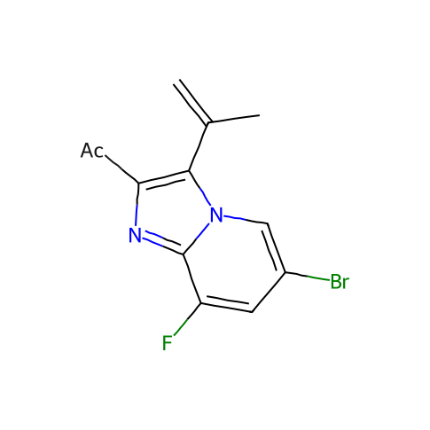 C=C(C)c1c(C(C)=O)nc2c(F)cc(Br)cn12